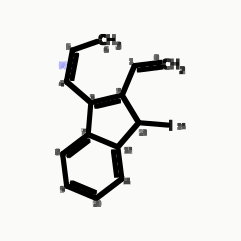 C=CC1=C(/C=C\C)c2ccccc2C1I